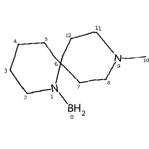 BN1CCCCC12CCN(C)CC2